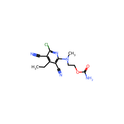 CCc1c(C#N)c(Cl)nc(N(C)CCOC(N)=O)c1C#N